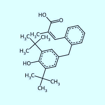 CC(=Cc1ccccc1Cc1cc(C(C)(C)C)c(O)c(C(C)(C)C)c1)C(=O)O